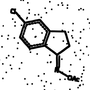 CC(=O)O/N=C1\CCc2cc(Cl)ccc21